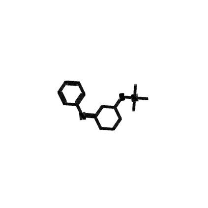 C[Si](C)(C)SC1CCCC(=Nc2ccccc2)C1